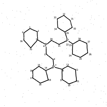 C1CCC(P(CCP(C2CCCCC2)C2CCCCC2)CCP(C2CCCCC2)C2CCCCC2)CC1